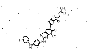 CCn1c(=O)c(-c2ncc(S(=O)(=O)CCN(C)C)s2)cc2cnc(Nc3ccc(NC4CCCNC4)cc3)nc21